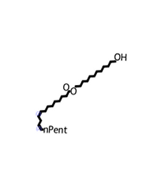 CCCCC/C=C\C/C=C\CCCCCCCC(=O)OCCCCCCCCCCCCO